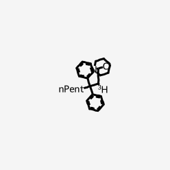 [3H]C(C1CC2CCN1CC2)C(CCCCC)(c1ccccc1)c1ccccc1